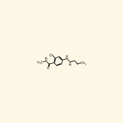 CCCNNc1ccc(C(=O)NC)c(Cl)c1